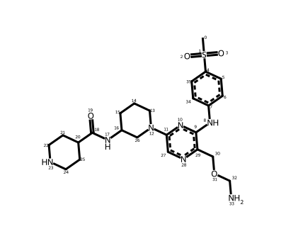 CS(=O)(=O)c1ccc(Nc2nc(N3CCCC(NC(=O)C4CCNCC4)C3)cnc2COCN)cc1